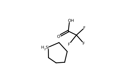 C1CC[SiH2]CC1.O=C(O)C(F)(F)F